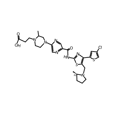 CC1CN(c2cnc(C(=O)Nc3nc(-c4cc(Cl)cs4)c(CN4CCC[C@H]4C)s3)cn2)CCN1CCC(=O)O